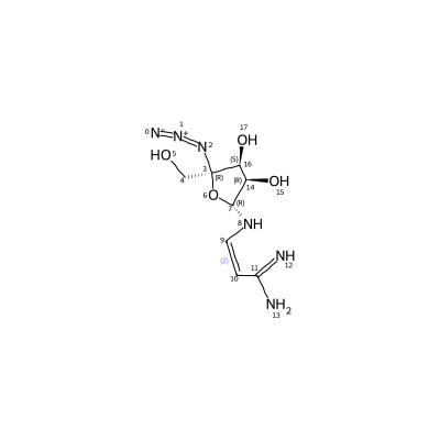 [N-]=[N+]=N[C@]1(CO)O[C@@H](N/C=C\C(=N)N)[C@H](O)[C@@H]1O